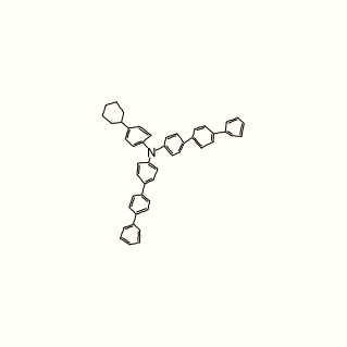 c1ccc(-c2ccc(-c3ccc(N(c4ccc(-c5ccc(-c6ccccc6)cc5)cc4)c4ccc(C5CCCCC5)cc4)cc3)cc2)cc1